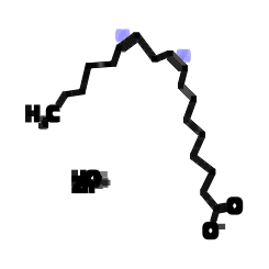 CCCCC/C=C\C/C=C\CCCCCCCC(=O)[O-].[OH-].[Zn+2]